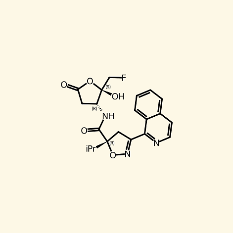 CC(C)[C@@]1(C(=O)N[C@@H]2CC(=O)O[C@]2(O)CF)CC(c2nccc3ccccc23)=NO1